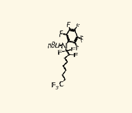 CCCCN(c1c(F)c(F)c(F)c(F)c1F)C(F)(F)C(F)CCCCCCC(F)(F)F